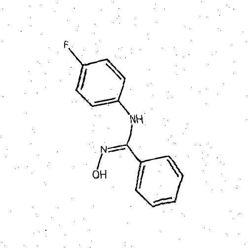 ON=C(Nc1ccc(F)cc1)c1ccccc1